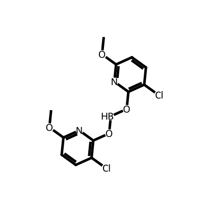 COc1ccc(Cl)c(OBOc2nc(OC)ccc2Cl)n1